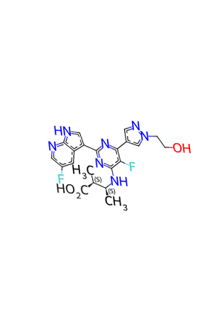 C[C@H](Nc1nc(-c2c[nH]c3ncc(F)cc23)nc(-c2cnn(CCO)c2)c1F)[C@H](C)C(=O)O